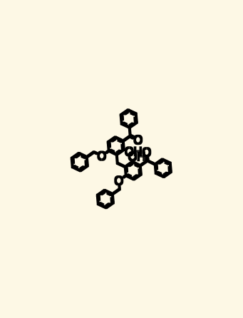 O=C(c1ccccc1)c1ccc(OCc2ccccc2)c(Cc2c(OCc3ccccc3)ccc(C(=O)c3ccccc3)c2O)c1O